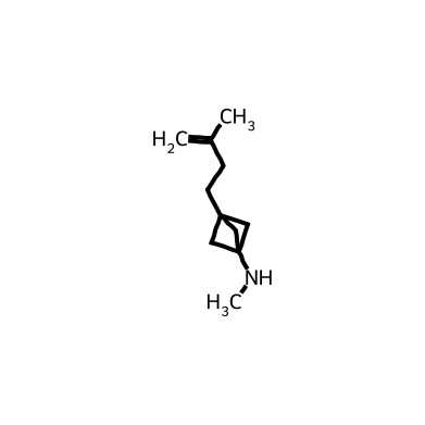 C=C(C)CCC12CC(NC)(C1)C2